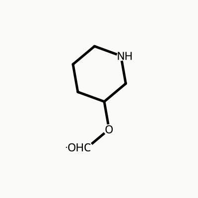 O=[C]OC1CCCNC1